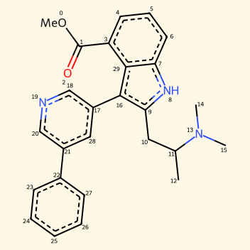 COC(=O)c1cccc2[nH]c(CC(C)N(C)C)c(-c3cncc(-c4ccccc4)c3)c12